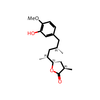 COc1ccc(C[C@H](C)C[C@@H](C)[C@@H]2C[C@@H](C)C(=O)O2)cc1O